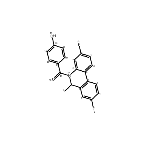 CC1c2cc(F)ccc2-c2ccc(F)cc2N1C(=O)c1ccc(O)cc1